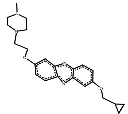 CN1CCN(CCOc2ccc3nc4cc(OCC5CC5)ccc4nc3c2)CC1